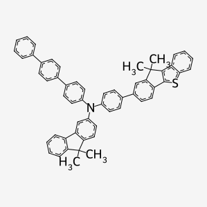 CC1(C)c2ccccc2-c2cc(N(c3ccc(-c4ccc(-c5ccccc5)cc4)cc3)c3ccc(-c4ccc5c(c4)C(C)(C)c4c-5sc5ccccc45)cc3)ccc21